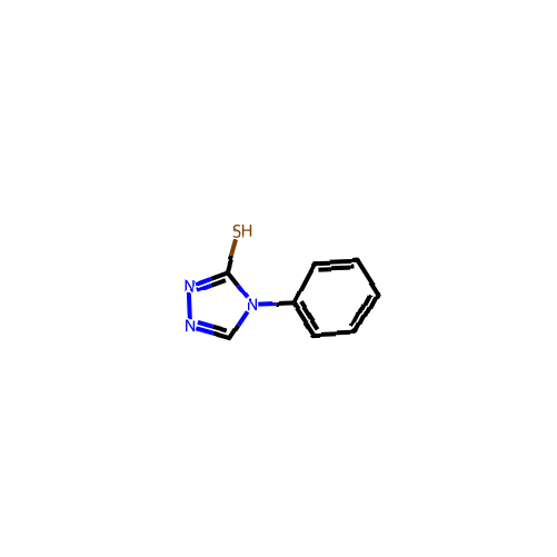 Sc1nncn1-c1ccccc1